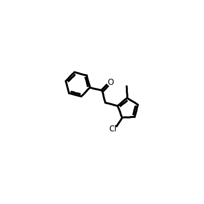 CC1=C(CC(=O)c2ccccc2)C(Cl)C=C1